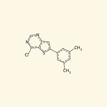 Cc1cc(C)cc(-c2cc3ncnc(Cl)c3s2)c1